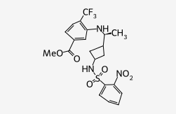 COC(=O)c1ccc(C(F)(F)F)c(N[C@@H](C)C2CC(NS(=O)(=O)c3ccccc3[N+](=O)[O-])C2)c1